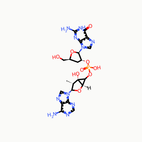 C[C@H]1[C@H](n2cnc3c(N)ncnc32)O[C@@H]2C(OP(=O)(O)O[C@@H]3C[C@@H](CO)O[C@H]3n3cnc4c(=O)[nH]c(N)nc43)[C@@]21O